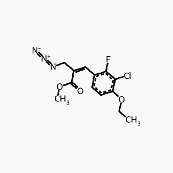 CCOc1ccc(/C=C(/CN=[N+]=[N-])C(=O)OC)c(F)c1Cl